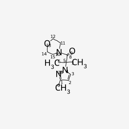 Cc1ccn(C(C)(C)C(=O)N2CCOCC2)n1